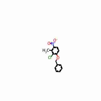 Cc1c([N+](=O)[O-])ccc(OCc2ccccc2)c1Cl